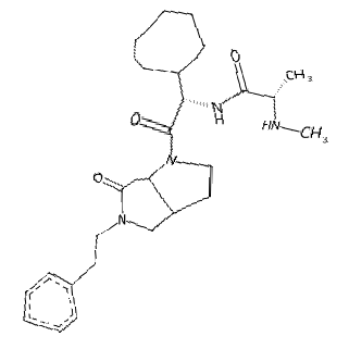 CN[C@@H](C)C(=O)N[C@H](C(=O)N1CCC2CN(CCc3ccccc3)C(=O)C21)C1CCCCC1